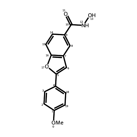 COc1ccc(-c2cc3cc(C(=O)NO)ccc3o2)cc1